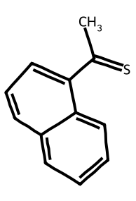 CC(=S)c1cccc2ccccc12